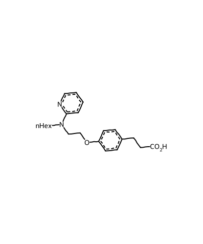 CCCCCCN(CCOc1ccc(CCC(=O)O)cc1)c1ccccn1